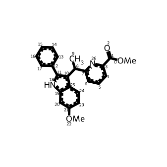 COC(=O)c1cccc(C(C)c2c(-c3ccccc3)[nH]c3cc(OC)ccc23)n1